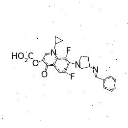 O=C(O)Oc1cn(C2CC2)c2c(F)c(N3CCC(N=Cc4ccccc4)C3)c(F)cc2c1=O